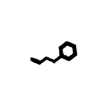 S=[C]CSc1ccccc1